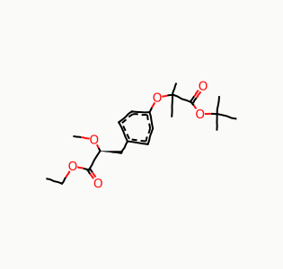 CCOC(=O)[C@H](Cc1ccc(OC(C)(C)C(=O)OC(C)(C)C)cc1)OC